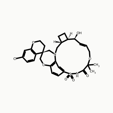 CC1(C)OC/C=C/[C@H](O)[C@@H]2CC[C@H]2CN2C[C@@]3(CCOc4cc(Cl)ccc43)COc3ccc(cc32)S(=O)(=O)NC1=O